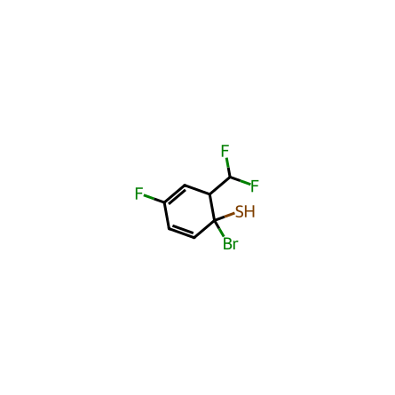 FC1=CC(C(F)F)C(S)(Br)C=C1